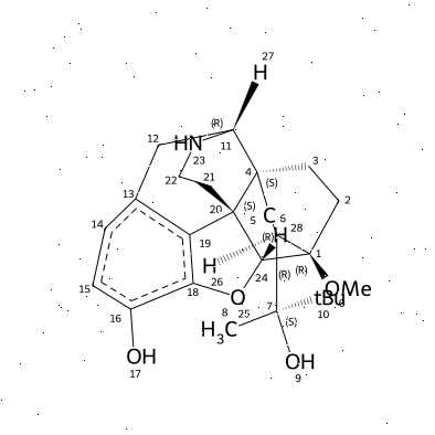 CO[C@]12CC[C@@]3(C[C@@H]1[C@](C)(O)C(C)(C)C)[C@H]1Cc4ccc(O)c5c4[C@@]3(CCN1)[C@H]2O5